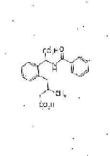 CC(CC(=O)O)Cc1ccccc1C(NC(=O)c1ccccc1)C(=O)O